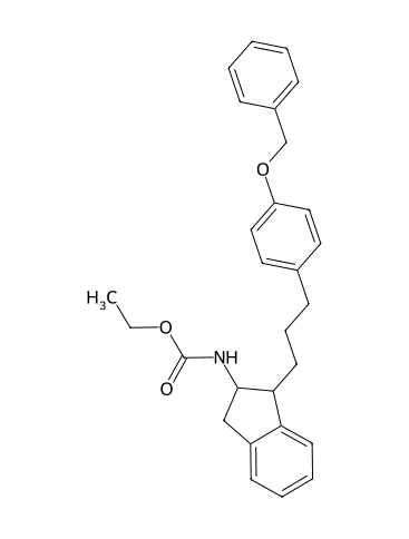 CCOC(=O)NC1Cc2ccccc2C1CCCc1ccc(OCc2ccccc2)cc1